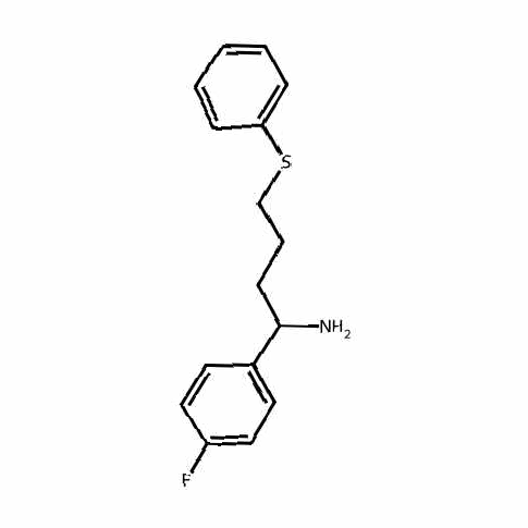 NC(CCCSc1ccccc1)c1ccc(F)cc1